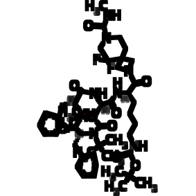 CNC(=O)N1CCC2(CN(C(=O)[C@@H](CCCCNC(=O)OC(C)(C)C)NC(=O)[C@@H](CC(C)C)NC(=O)[C@@H](Cc3ccccc3)NC(=O)[C@@H](Cc3ccccc3)N(C(=O)O)C(C)(C)C)C2)C(F)(F)C1